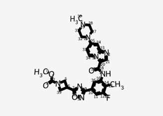 COC(=O)N1CC(c2nc(-c3cc(F)c(C)c(NC(=O)c4cnc5cc(N6CCN(C)CC6)ccn45)c3)no2)C1